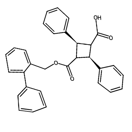 O=C(O)C1[C@@H](c2ccccc2)C(C(=O)OCc2ccccc2-c2ccccc2)[C@H]1c1ccccc1